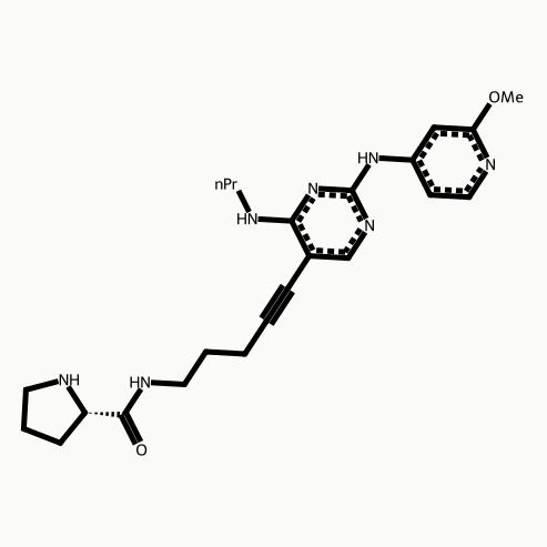 CCCNc1nc(Nc2ccnc(OC)c2)ncc1C#CCCCNC(=O)[C@@H]1CCCN1